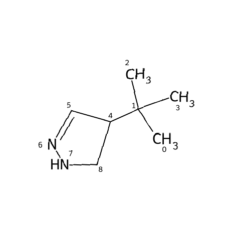 CC(C)(C)C1C=NNC1